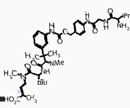 CNC(C(=O)NC(C(=O)N(C)C/C=C(\C)C(=O)O)C(C)(C)C)C(C)(C)c1cccc(NC(=O)OCc2ccc(NC(=O)CNC(=O)C(N)C(C)C)cc2)c1